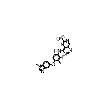 Cc1c(Oc2ccc3c(c2)ncn3C)ccc(Nc2ncnc3cnc([S+](C)[O-])nc23)c1F